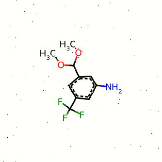 COC(OC)c1cc(N)cc(C(F)(F)F)c1